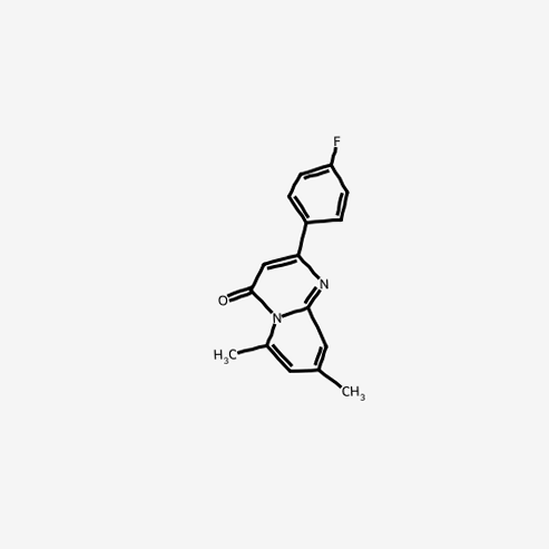 Cc1cc(C)n2c(=O)cc(-c3ccc(F)cc3)nc2c1